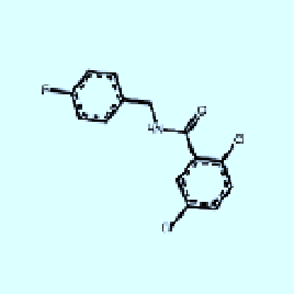 O=C(NCc1ccc(F)cc1)c1cc(Cl)ccc1Cl